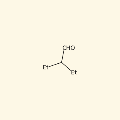 [CH2]CC(C=O)C[CH2]